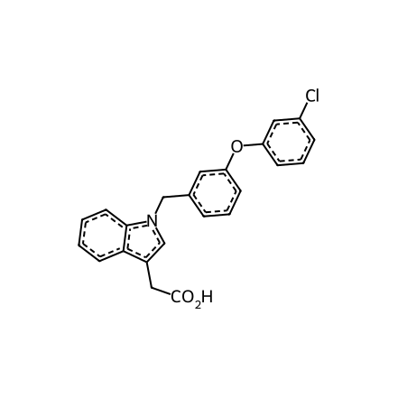 O=C(O)Cc1cn(Cc2cccc(Oc3cccc(Cl)c3)c2)c2ccccc12